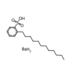 CCCCCCCCCCCCc1ccccc1S(=O)(=O)O.[BaH2]